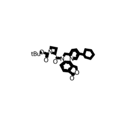 CC(C)(C)OC(=O)N1CC[C@@H]1C(=O)N(Cc1ccc(C2CCCCC2)cn1)c1ccc2c(c1)COC2=O